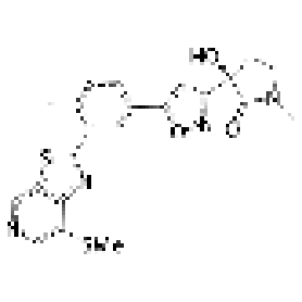 CSc1cncc2sc(-c3cc(-c4cc([C@]5(O)CCN(C)C5=O)no4)ccc3C)nc12